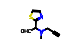 C#CCN(C)C(C=O)c1nccs1